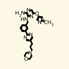 Cn1cc(Oc2cnc(N)c(NCc3cccc(-c4ncc(CCCN5CCOCC5)cn4)c3)n2)cn1